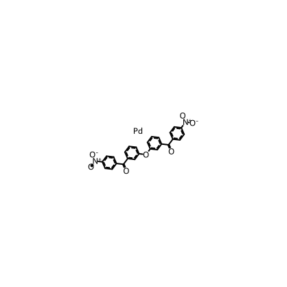 O=C(c1ccc([N+](=O)[O-])cc1)c1cccc(Oc2cccc(C(=O)c3ccc([N+](=O)[O-])cc3)c2)c1.[Pd]